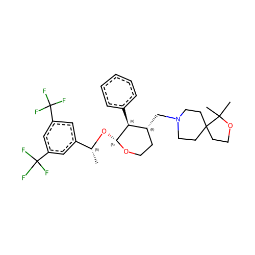 C[C@@H](O[C@H]1OCC[C@@H](CN2CCC3(CCOC3(C)C)CC2)[C@@H]1c1ccccc1)c1cc(C(F)(F)F)cc(C(F)(F)F)c1